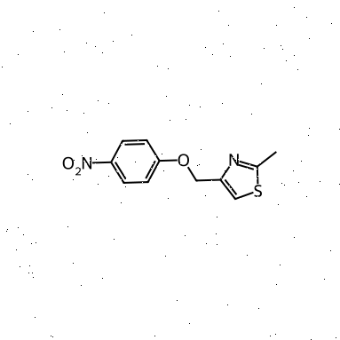 Cc1nc(COc2ccc([N+](=O)[O-])cc2)cs1